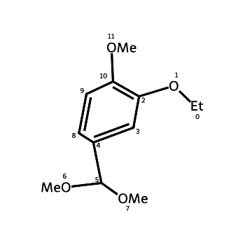 CCOc1cc(C(OC)OC)ccc1OC